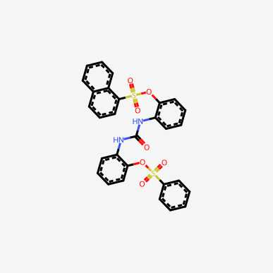 O=C(Nc1ccccc1OS(=O)(=O)c1ccccc1)Nc1ccccc1OS(=O)(=O)c1cccc2ccccc12